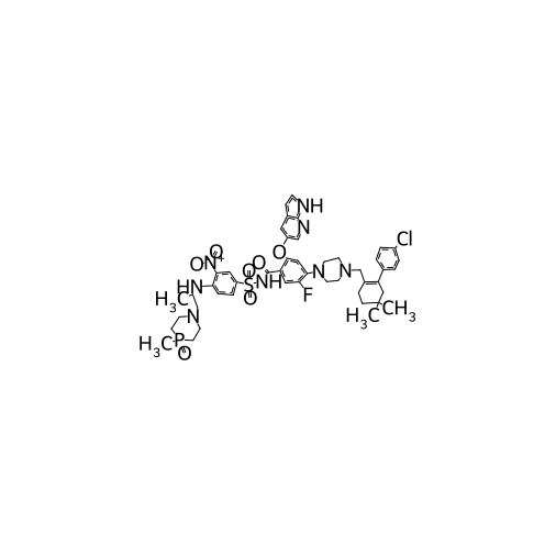 CC(CN1CCP(C)(=O)CC1)Nc1ccc(S(=O)(=O)NC(=O)c2cc(F)c(N3CCN(CC4=C(c5ccc(Cl)cc5)CC(C)(C)CC4)CC3)cc2Oc2cnc3[nH]ccc3c2)cc1[N+](=O)[O-]